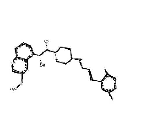 COc1cnc2cccc([C@@H](O)[C@H](O)[C@H]3CC[C@H](NCC=Cc4cc(F)ccc4F)CC3)c2n1